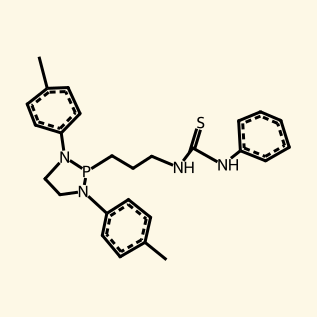 Cc1ccc(N2CCN(c3ccc(C)cc3)P2CCCNC(=S)Nc2ccccc2)cc1